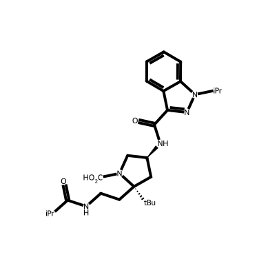 CC(C)C(=O)NCC[C@]1(C(C)(C)C)C[C@H](NC(=O)c2nn(C(C)C)c3ccccc23)CN1C(=O)O